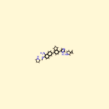 Nc1c(/N=C/[C@@H]2CCCN2)ccc2cc(-c3ccc(-c4cnc([C@@H]5CC6(CC6)CN5)[nH]4)c4c3CCC4)ccc12